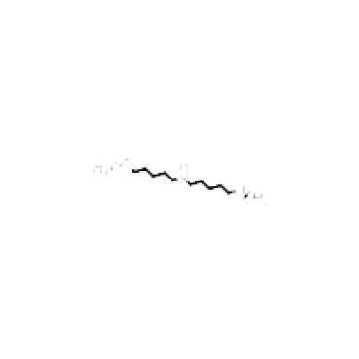 COCCCCC[SiH2]CCCCCOC